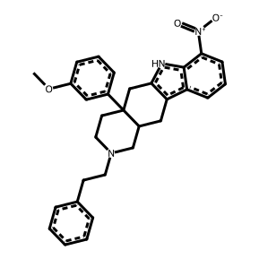 COc1cccc(C23CCN(CCc4ccccc4)CC2Cc2c([nH]c4c([N+](=O)[O-])cccc24)C3)c1